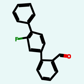 O=Cc1ccccc1-c1ccc(-c2ccccc2)c(F)c1